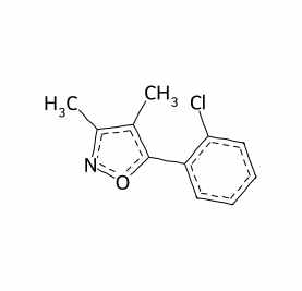 Cc1noc(-c2ccccc2Cl)c1C